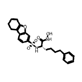 O=C(NO)[C@H](CCCCc1ccccc1)NS(=O)(=O)c1ccc2c3c(oc2c1)CCCC3